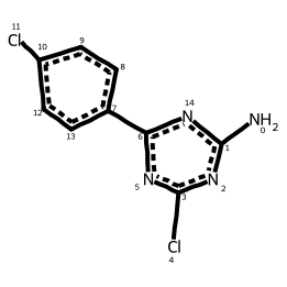 Nc1nc(Cl)nc(-c2ccc(Cl)cc2)n1